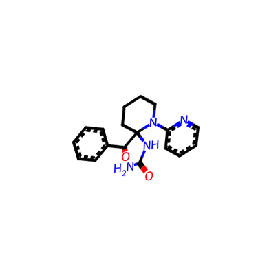 NC(=O)NC1(C(=O)c2ccccc2)CCCCN1c1ccccn1